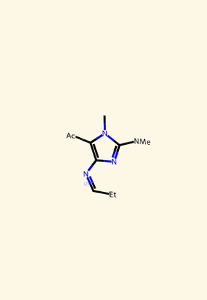 CC/C=N\c1nc(NC)n(C)c1C(C)=O